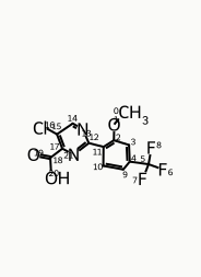 COc1cc(C(F)(F)F)ccc1-c1ncc(Cl)c(C(=O)O)n1